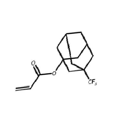 C=CC(=O)OC12CC3CC(C1)CC(C(F)(F)F)(C3)C2